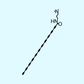 C#CC#CC#CC#CC#CC#CC#CC#CC#CC#CC#CC(=O)NCCCN(C)C